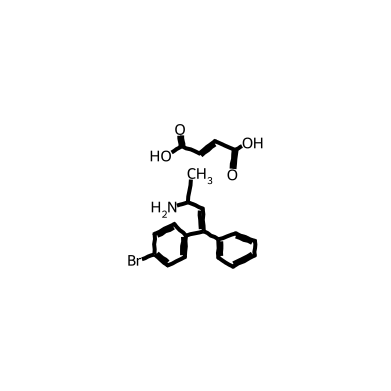 CC(N)C=C(c1ccccc1)c1ccc(Br)cc1.O=C(O)C=CC(=O)O